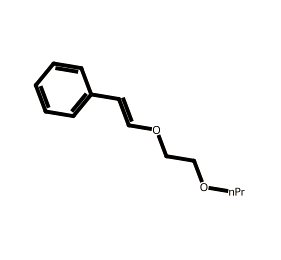 CCCOCCOC=Cc1ccccc1